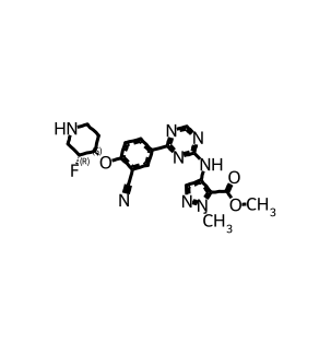 COC(=O)c1c(Nc2ncnc(-c3ccc(O[C@H]4CCNC[C@H]4F)c(C#N)c3)n2)cnn1C